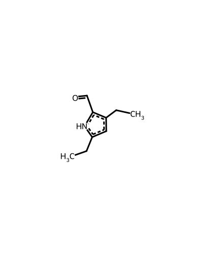 CCc1cc(CC)c(C=O)[nH]1